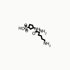 NCCCC[C@H](N)C(=O)NC1CCC(S(=O)(=O)O)C1